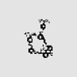 CN(C)c1ccc(/N=N/c2ccc[n+](CCCNc3cccc4c3C(=O)c3c(NCCC[n+]5cccc(/N=N/c6ccc(N(C)C)cc6)c5)cccc3C4=O)c2)cc1